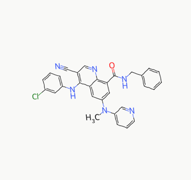 CN(c1cccnc1)c1cc(C(=O)NCc2ccccc2)c2ncc(C#N)c(Nc3cccc(Cl)c3)c2c1